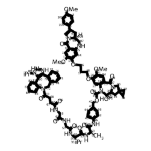 COc1ccc(C2=CN3C(=O)c4cc(OC)c(OCCCOc5cc6c(cc5OC)C(=O)N5CC7(CC7)C[C@H]5C(O)N6C(=O)OCc5ccc(NC(=O)[C@H](C)NC(=O)[C@H](NC(=O)CNC(=O)CNC(=O)CCC(=O)N6Cc7ccccc7C7=C(c8ccccc86)N(C(C)C)NN7)C(C)C)cc5)cc4NC[C@@H]3C2)cc1